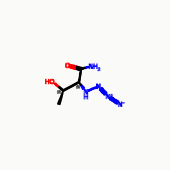 C[C@@H](O)[C@H](NN=[N+]=[N-])C(N)=O